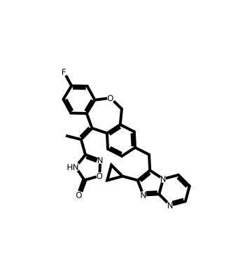 C/C(=C1/c2ccc(Cc3c(C4CC4)nc4ncccn34)cc2COc2cc(F)ccc21)c1noc(=O)[nH]1